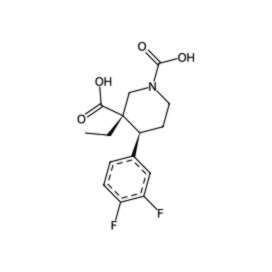 CC[C@@]1(C(=O)O)CN(C(=O)O)CC[C@H]1c1ccc(F)c(F)c1